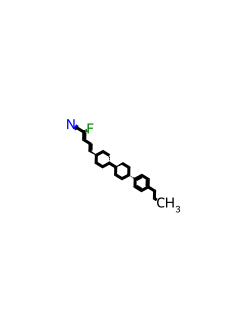 CCCc1ccc([C@H]2CC[C@H]([C@H]3CC[C@H](C=CC=C(F)C#N)CC3)CC2)cc1